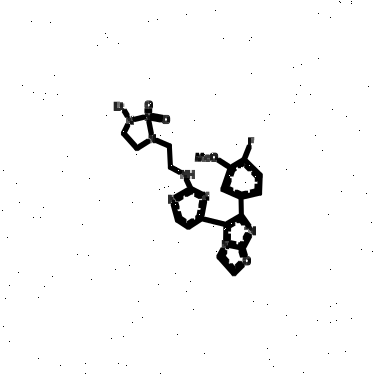 CCN1CCN(CCNc2nccc(-c3c(-c4ccc(F)c(OC)c4)nc4occn34)n2)S1(=O)=O